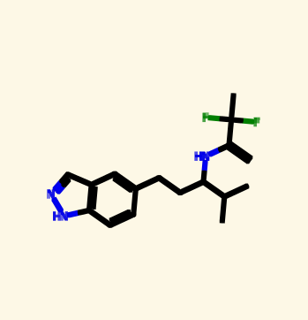 C=C(NC(CCc1ccc2[nH]ncc2c1)C(C)C)C(C)(F)F